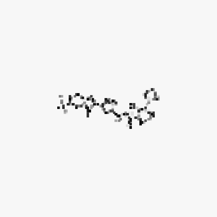 C[C@@H](NC(=O)c1ncnc(-c2ncc[nH]2)c1Cl)c1cc(-c2nc3ccc(C(F)(F)F)cc3[nH]2)no1